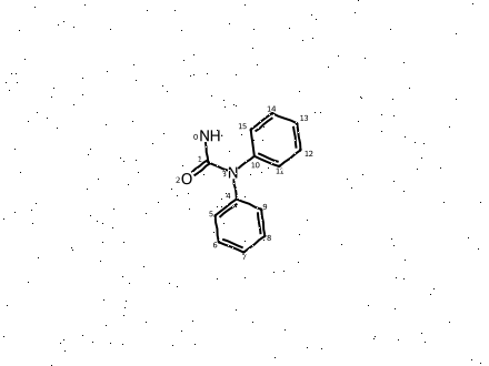 [NH]C(=O)N(c1ccccc1)c1ccccc1